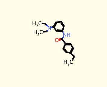 CCc1ccc(C(=O)Nc2cccc(N(CC)CC)c2)cc1